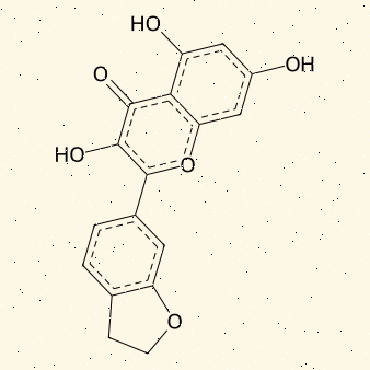 O=c1c(O)c(-c2ccc3c(c2)OCC3)oc2cc(O)cc(O)c12